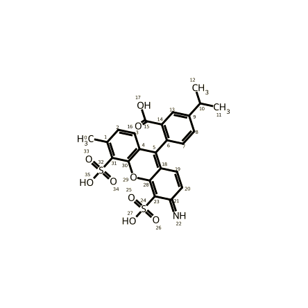 Cc1ccc2c(-c3ccc(C(C)C)cc3C(=O)O)c3ccc(=N)c(S(=O)(=O)O)c-3oc2c1S(=O)(=O)O